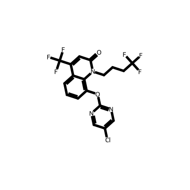 O=c1cc(C(F)(F)F)c2cccc(Oc3ncc(Cl)cn3)c2n1CCCC(F)(F)F